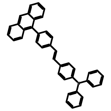 C(=C\c1ccc(N(c2ccccc2)c2ccccc2)cc1)/c1ccc(-c2c3ccccc3cc3ccccc23)cc1